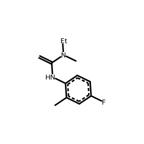 C=C(Nc1ccc(F)cc1C)N(C)CC